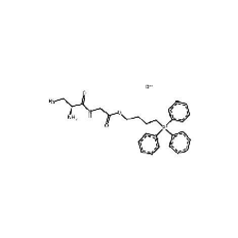 N[C@@H](CS)C(=O)NCC(=O)OCCCC[P+](c1ccccc1)(c1ccccc1)c1ccccc1.[Br-]